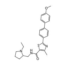 CCN1CCCC1CNC(=O)c1sc(-c2ccc(-c3ccc(OC)cc3)cc2)nc1C